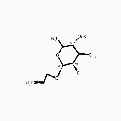 C=CCO[C@H]1OC(C)[C@H](OC(C)=O)C(C)[C@H]1C